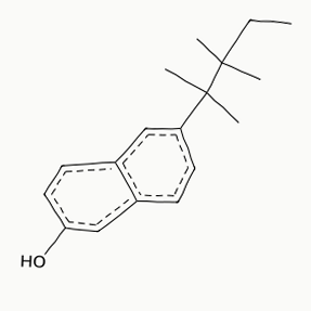 CCC(C)(C)C(C)(C)c1ccc2cc(O)ccc2c1